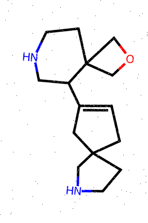 C1=C(C2CNCCC23COC3)CC2(C1)CCNC2